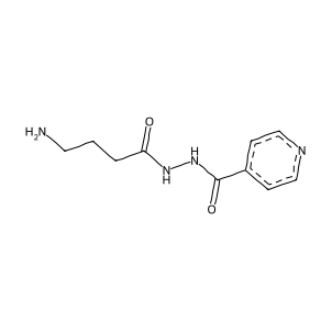 NCCCC(=O)NNC(=O)c1ccncc1